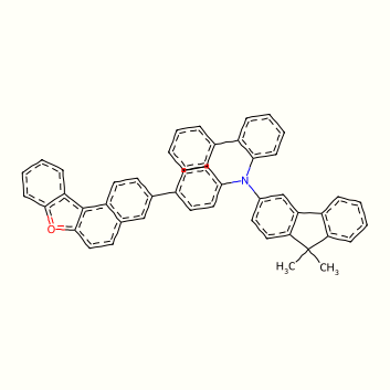 CC1(C)c2ccccc2-c2cc(N(c3ccc(-c4ccc5c(ccc6oc7ccccc7c65)c4)cc3)c3ccccc3-c3ccccc3)ccc21